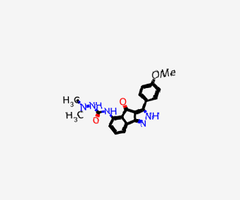 COc1ccc(-c2[nH]nc3c2C(=O)c2c(NC(=O)NN(C)C)cccc2-3)cc1